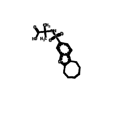 CC(C)(NS(=O)(=O)c1ccc2c3c(oc2c1)CCCCCC3)C(=O)O